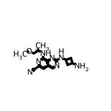 COC[C@@H](C)Nc1nc(C#N)cc2cnc(NC3CC(N)C3)nc12